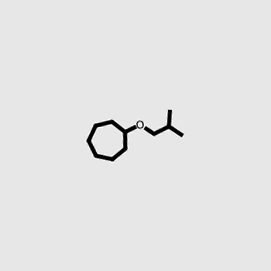 CC(C)COC1CCCCCC1